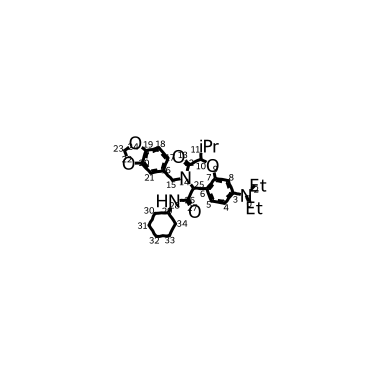 CCN(CC)c1ccc2c(c1)OC(C(C)C)C(=O)N(Cc1ccc3c(c1)OCO3)C2C(=O)NC1CCCCC1